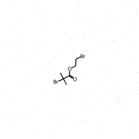 CC(C)(Br)C(=O)OCCBr